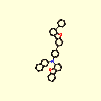 c1ccc(-c2cccc3c2oc2ccc(-c4ccc(N(c5ccc6ccccc6c5)c5cccc6c5oc5ccccc56)cc4)cc23)cc1